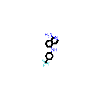 Nc1nccc2c(NC3CCC(C(F)(F)F)CC3)cccc12